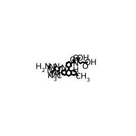 Cc1ccc2c(c1)Cc1cc(C)ccc1C2=C1C=C(C(=O)NC(CCC(=O)O)C(=O)O)C=C/C1=N\Cc1cnc2c(O)nc(N)nc2n1